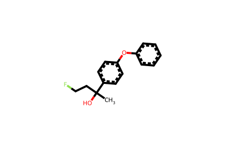 CC(O)(CCF)c1ccc(Oc2ccccc2)cc1